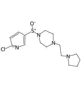 [O-][S+](c1ccc(Cl)nc1)N1CCN(CCN2CCCC2)CC1